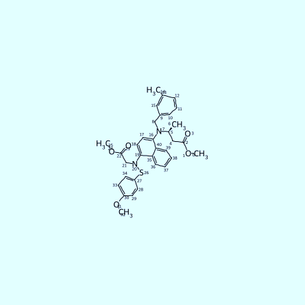 COC(=O)C[C@H](C)N(Cc1cccc(C)c1)c1ccc(N(CC(=O)OC)Sc2ccc(OC)cc2)c2ccccc12